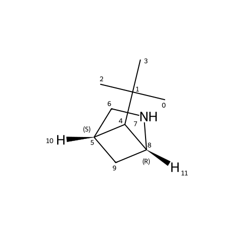 CC(C)(C)C1[C@H]2CN[C@@H]1C2